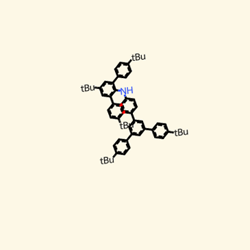 CC(C)(C)c1ccc(-c2cc(-c3ccc(Nc4c(-c5ccc(C(C)(C)C)cc5)cc(C(C)(C)C)cc4-c4ccc(C(C)(C)C)cc4)cc3)cc(-c3ccc(C(C)(C)C)cc3)c2)cc1